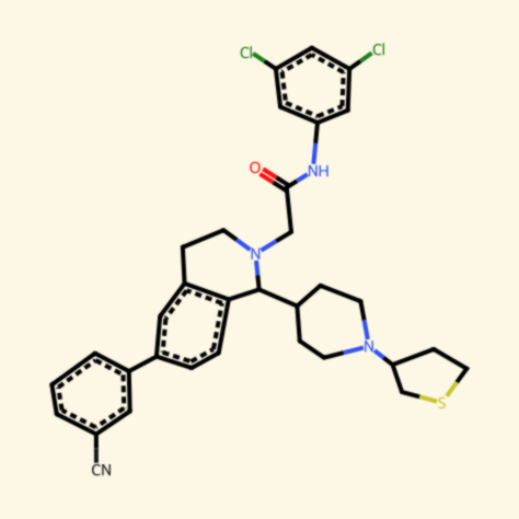 N#Cc1cccc(-c2ccc3c(c2)CCN(CC(=O)Nc2cc(Cl)cc(Cl)c2)C3C2CCN(C3CCSC3)CC2)c1